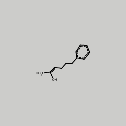 O=C(O)C(O)=CCCCc1ccccc1